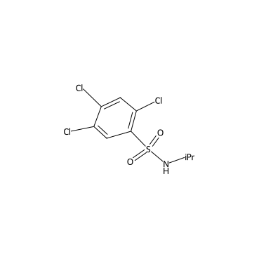 [CH2]C(C)NS(=O)(=O)c1cc(Cl)c(Cl)cc1Cl